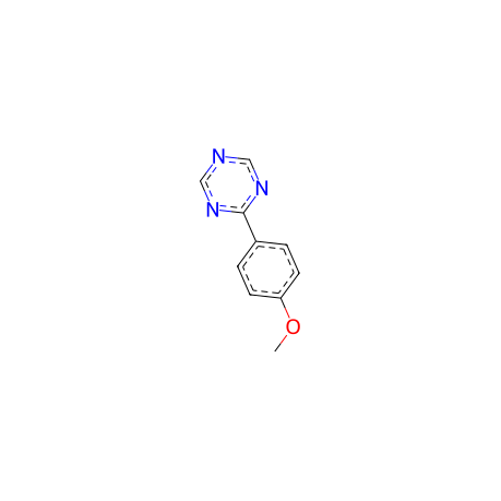 COc1ccc(-c2ncncn2)cc1